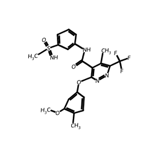 COc1cc(Oc2nnc(C(F)(F)F)c(C)c2C(=O)Nc2cccc(S(C)(=N)=O)c2)ccc1C